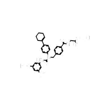 Cc1cc(NC(=O)N(Cc2ccc(C(=O)NCC(F)C(=O)O)cc2)c2ccc(C3=CCCCC3)cc2)cc(C(F)(F)F)c1